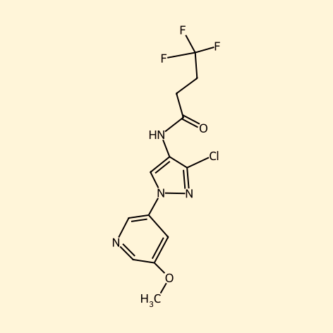 COc1cncc(-n2cc(NC(=O)CCC(F)(F)F)c(Cl)n2)c1